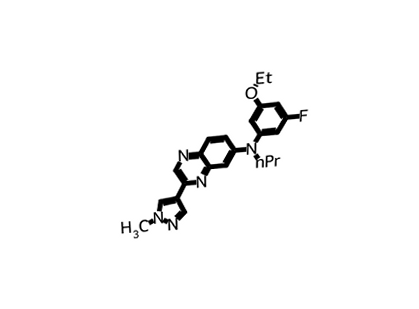 CCCN(c1cc(F)cc(OCC)c1)c1ccc2ncc(-c3cnn(C)c3)nc2c1